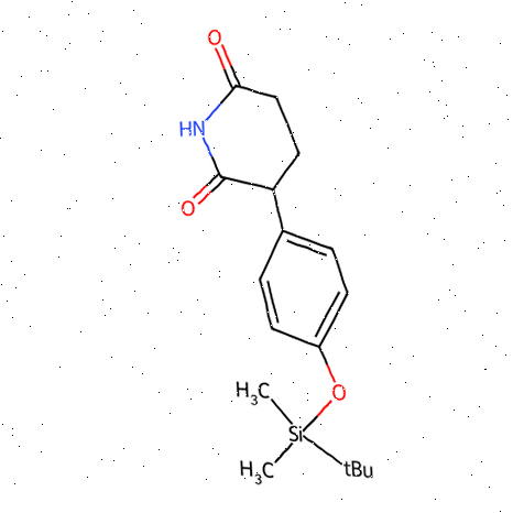 CC(C)(C)[Si](C)(C)Oc1ccc(C2CCC(=O)NC2=O)cc1